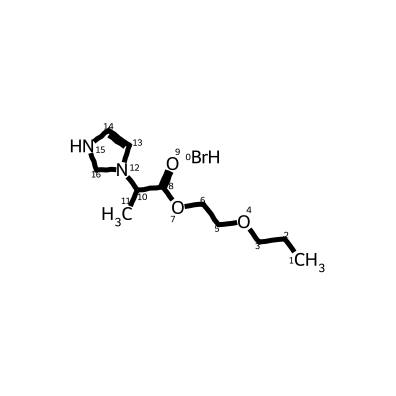 Br.CCCOCCOC(=O)C(C)N1C=CNC1